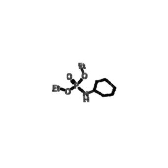 CCOP(=O)(NC1CCCCC1)OCC